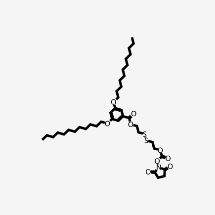 CCCCCCCCCCCCOc1cc(OCCCCCCCCCCCC)cc(C(=O)OCCSSCCOC(=O)ON2C(=O)CCC2=O)c1